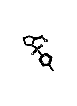 Cc1ccc(S(=O)(=O)N2CCS/C2=N/C#N)cc1